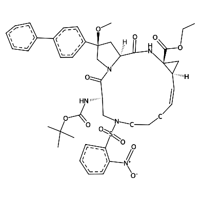 CCOC(=O)[C@@]12C[C@H]1C=CCCCN(S(=O)(=O)c1ccccc1[N+](=O)[O-])C[C@H](NC(=O)OC(C)(C)C)C(=O)N1C[C@](OC)(c3ccc(-c4ccccc4)cc3)C[C@H]1C(=O)N2